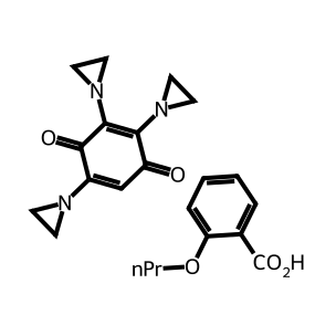 CCCOc1ccccc1C(=O)O.O=C1C=C(N2CC2)C(=O)C(N2CC2)=C1N1CC1